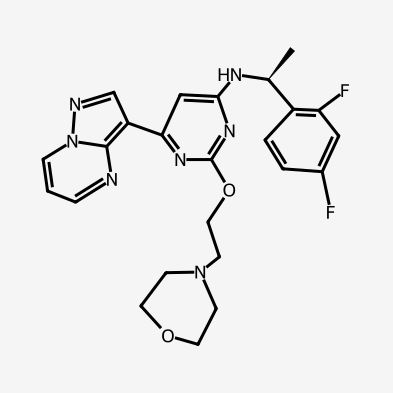 C[C@H](Nc1cc(-c2cnn3cccnc23)nc(OCCN2CCOCC2)n1)c1ccc(F)cc1F